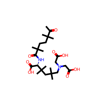 CC(=O)C(C)(C)CCC(C)(C)C(=O)N[C@@H](C(=O)O)C(C)(C)CC(C)(C)CN(CC(=O)O)CC(=O)O